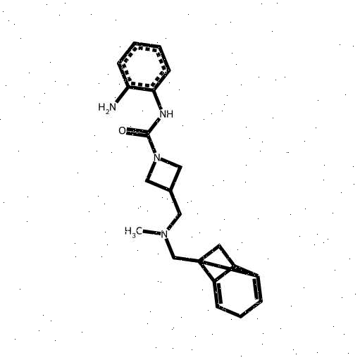 CN(CC1CN(C(=O)Nc2ccccc2N)C1)CC12CC3C1=CCC=C32